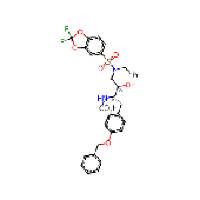 CC(C)CN(C[C@@H](O)[C@H](Cc1ccc(OCc2ccccc2)cc1)NC(=O)O)S(=O)(=O)c1ccc2c(c1)OC(F)(F)O2